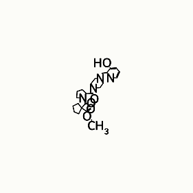 CCOC(=O)C1(C(=O)N2CCCC2C(=O)N2CCN(Cc3ncccc3O)CC2)CCCC1